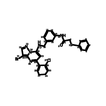 O=C(CSc1ccccc1)Nc1cccc(CNc2cc(C3=CCCC=C3Cl)nc3c(Br)cnn23)c1